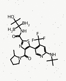 BC(B)(NC(=O)c1nc(C(=O)N2CCCC2C)c(-c2cnc(NC(C)(C)C)cc2C(F)(F)F)s1)C(C)(C)O